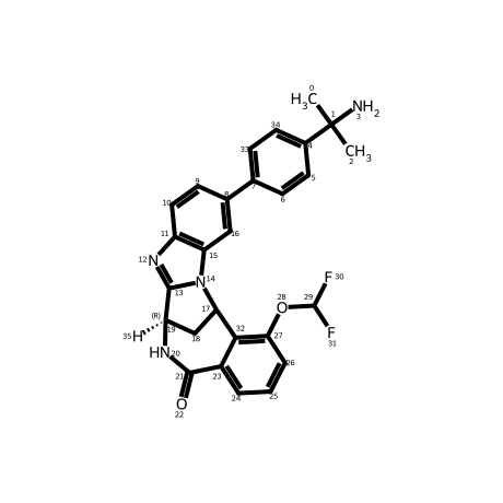 CC(C)(N)c1ccc(-c2ccc3nc4n(c3c2)C2C[C@H]4NC(=O)c3cccc(OC(F)F)c32)cc1